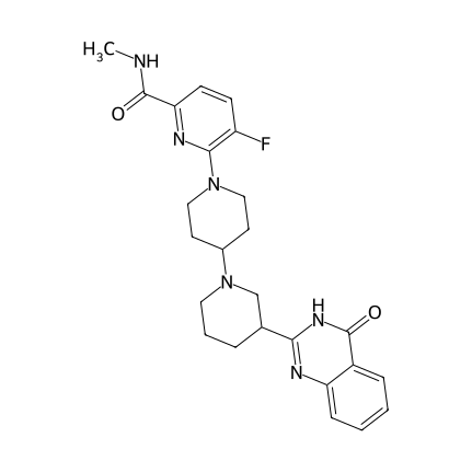 CNC(=O)c1ccc(F)c(N2CCC(N3CCCC(c4nc5ccccc5c(=O)[nH]4)C3)CC2)n1